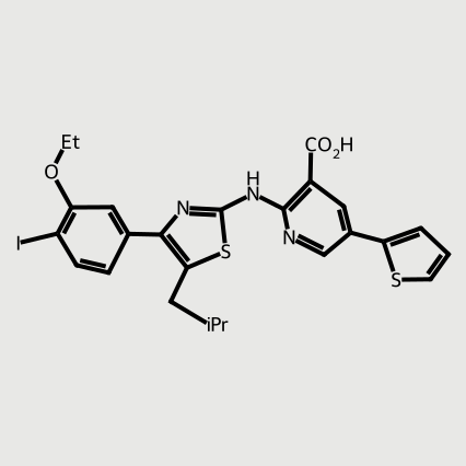 CCOc1cc(-c2nc(Nc3ncc(-c4cccs4)cc3C(=O)O)sc2CC(C)C)ccc1I